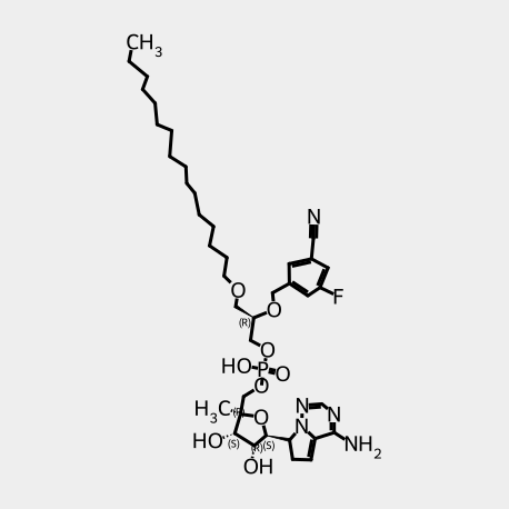 CCCCCCCCCCCCCCCCOC[C@H](COP(=O)(O)OC[C@@]1(C)O[C@@H](C2CC=C3C(N)=NC=NN32)[C@H](O)[C@@H]1O)OCc1cc(F)cc(C#N)c1